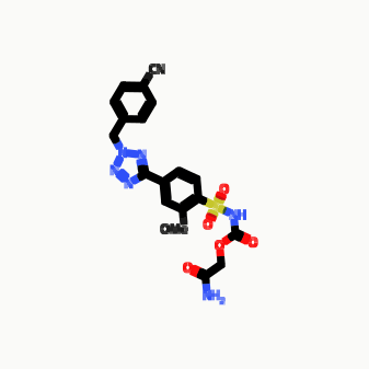 COc1cc(-c2nnn(Cc3ccc(C#N)cc3)n2)ccc1S(=O)(=O)NC(=O)OCC(N)=O